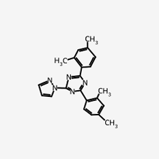 Cc1ccc(-c2nc(-c3ccc(C)cc3C)nc(-n3cccn3)n2)c(C)c1